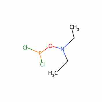 CCN(CC)OP(Cl)Cl